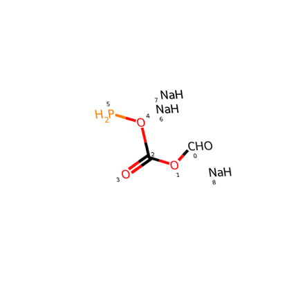 O=COC(=O)OP.[NaH].[NaH].[NaH]